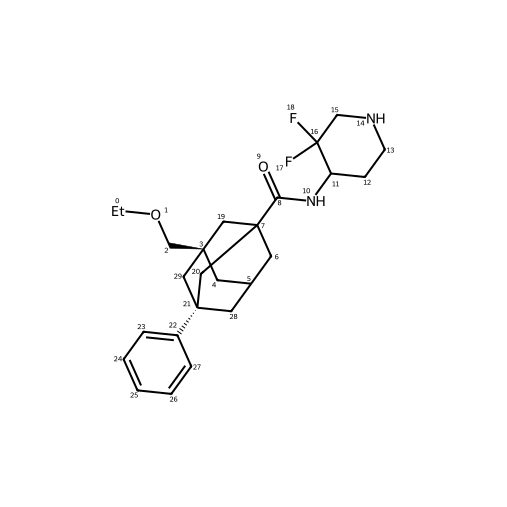 CCOC[C@]12CC3CC(C(=O)NC4CCNCC4(F)F)(C1)C[C@@](c1ccccc1)(C3)C2